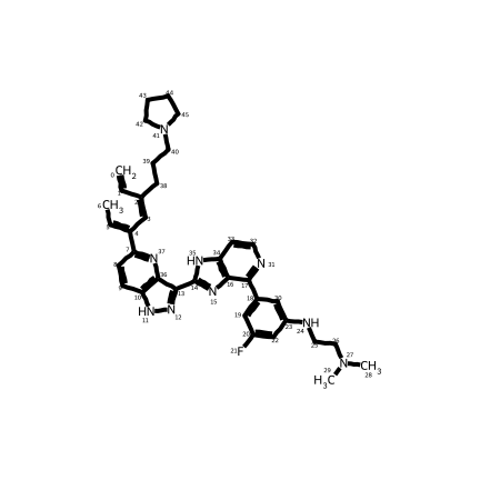 C=C/C(=C\C(=C/C)c1ccc2[nH]nc(-c3nc4c(-c5cc(F)cc(NCCN(C)C)c5)nccc4[nH]3)c2n1)CCCN1CCCC1